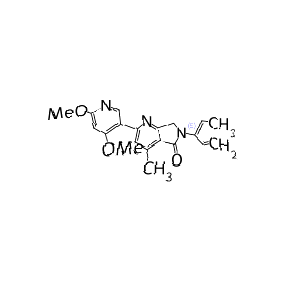 C=C/C(=C\C)N1Cc2nc(-c3cnc(OC)cc3OC)cc(C)c2C1=O